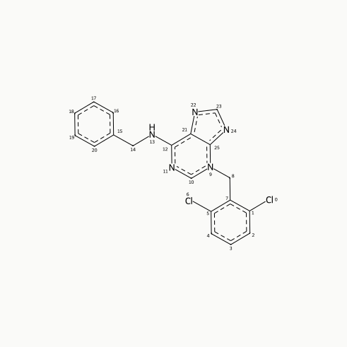 Clc1cccc(Cl)c1Cn1cnc(NCc2ccccc2)c2ncnc1-2